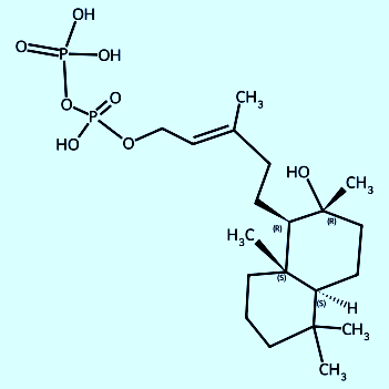 CC(=CCOP(=O)(O)OP(=O)(O)O)CC[C@@H]1[C@@]2(C)CCCC(C)(C)[C@@H]2CC[C@@]1(C)O